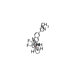 Cn1cc(-c2ccc3nnc(NC(=O)N4[C@@H]5CC[C@H]4C[C@H](NC(CF)CF)C5)cc3c2)cn1